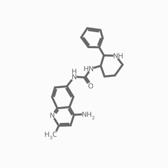 Cc1cc(N)c2cc(NC(=O)NC3CCCNC3c3ccccc3)ccc2n1